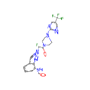 O=CNc1cccc2cn(C(F)C(=O)N3CCN(c4ncc(C(F)(F)F)cn4)CC3)nc12